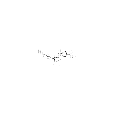 CN(C)CC(=O)NCCNc1nc(Nc2ccc(C(N)=O)cc2)ncc1C(F)(F)F